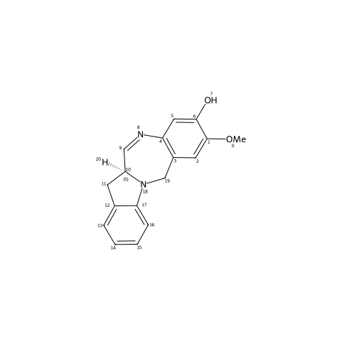 COc1cc2c(cc1O)N=C[C@@H]1Cc3ccccc3N1C2